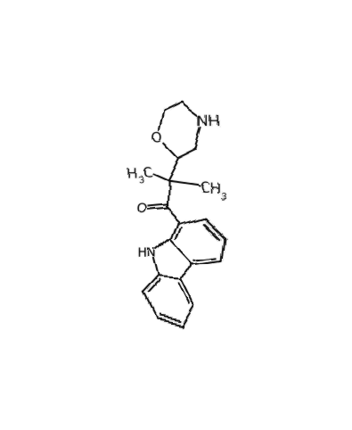 CC(C)(C(=O)c1cccc2c1[nH]c1ccccc12)C1CNCCO1